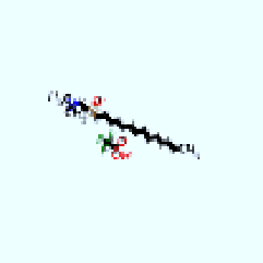 CCCCCCCCCCCCCC[S+]([O-])CCN(C)C.O=C(O)C(F)(F)F